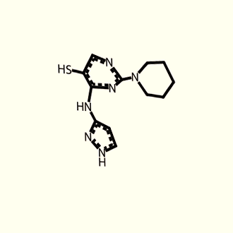 Sc1cnc(N2CCCCC2)nc1Nc1cc[nH]n1